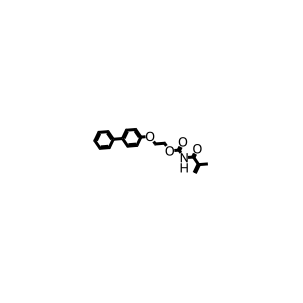 C=C(C)C(=O)NC(=O)OCCOc1ccc(-c2ccccc2)cc1